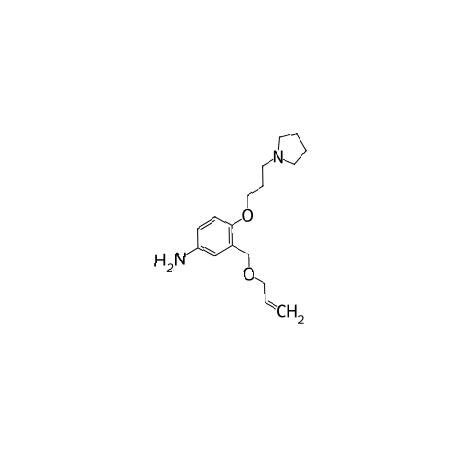 C=CCOCc1cc(N)ccc1OCCCN1CCCC1